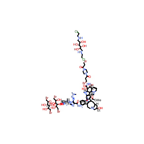 CCN(CC)CC.CCOC(N)=O.CC[C@]1(O)C[C@H]2C[N@](CCc3c([nH]c4ccccc34)[C@@](C(=O)OC)(c3cc4c(cc3OC)N(C)[C@H]3[C@@](O)(C(N)=O)[C@H](O)[C@]5(CC)C=CCN6CC[C@]43[C@@H]65)C2)C1.CN(C)/N=N/c1[nH]cnc1C(N)=O.O=C(CCBr)N1CCN(C(=O)CCBr)CC1.O=S(=O)(O)O.OC(CBr)C(O)C(O)C(O)CBr.O[C@@H]([C@H](O)[C@H](O)CBr)[C@H](O)CBr.O[C@@H]([C@H](O)[C@H](O)CNCCCl)[C@H](O)CNCCCl